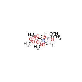 COC1OC(COC(C)=O)C(OC(C)=O)C(C)C1N(C(C)=O)C(=O)CCC(=O)C(C)(C)C